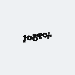 N#CC1(c2ccc(N3CCC[C@@H](NC(=O)Nc4ccc(C(F)(F)F)cc4)C3=O)cc2)CC1